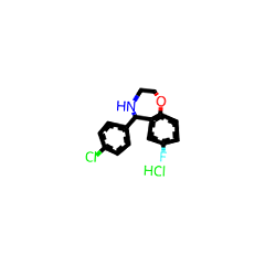 Cl.Fc1ccc2c(c1)C(c1ccc(Cl)cc1)NCCO2